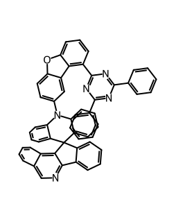 c1ccc(-c2nc(-c3ccccc3)nc(-c3cccc4oc5ccc(N6c7ccccc7C7(c8ccccc8-c8ncc9ccccc9c87)c7ccccc76)cc5c34)n2)cc1